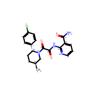 C[C@H]1CC[C@H](c2ccc(Cl)cc2)N(C(=O)C(=O)Nc2ncccc2C(N)=O)C1